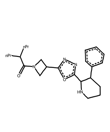 CCCC(CCC)C(=O)N1CC(c2nnc(C3NCCCC3c3ccccc3)o2)C1